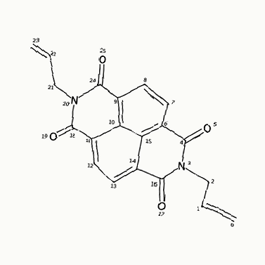 C=CCN1C(=O)c2ccc3c4c(ccc(c24)C1=O)C(=O)N(CC=C)C3=O